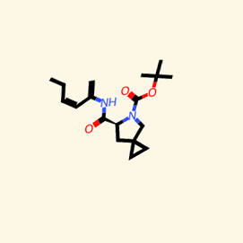 C=C(/C=C\CC)NC(=O)[C@@H]1CC2(CC2)CN1C(=O)OC(C)(C)C